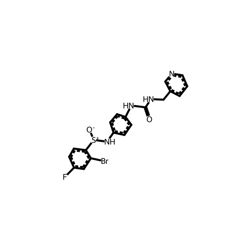 O=C(NCc1cccnc1)Nc1ccc(N[S+]([O-])c2ccc(F)cc2Br)cc1